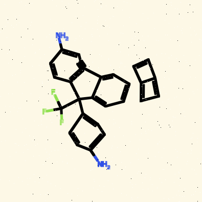 C#Cc1ccccc1C(c1ccc(N)cc1)(c1ccc(N)cc1)C(F)(F)F.c1cc2ccc1-2